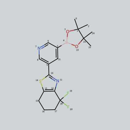 CC1(C)OB(c2cncc(-c3nc4c(s3)CCCC4(F)F)c2)OC1(C)C